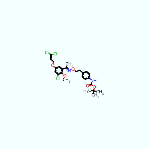 COc1c(Cl)cc(OCC=C(Cl)Cl)cc1/C(C)=N/OCCc1ccc(NC(=O)OC(C)(C)C)cc1